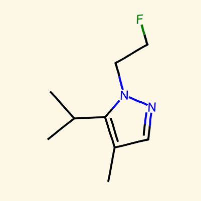 Cc1cnn(CCF)c1C(C)C